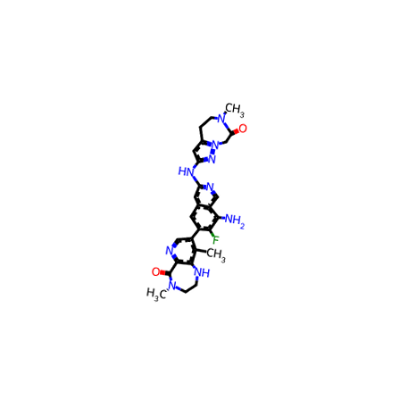 Cc1c(-c2cc3cc(Nc4cc5n(n4)CC(=O)N(C)CC5)ncc3c(N)c2F)cnc2c1NCCN(C)C2=O